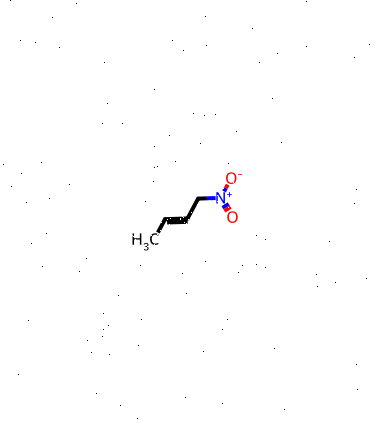 CC=CC[N+](=O)[O-]